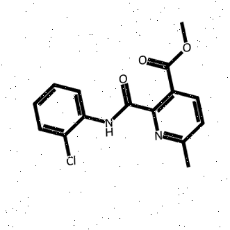 COC(=O)c1ccc(C)nc1C(=O)Nc1ccccc1Cl